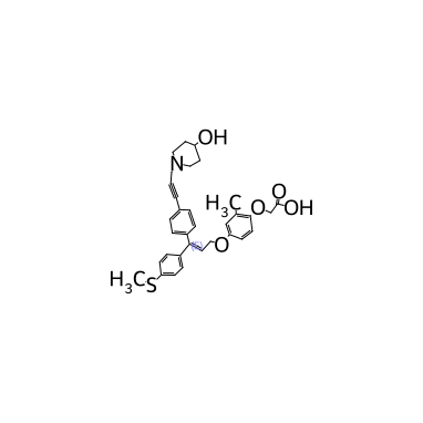 CSc1ccc(/C(=C/COc2ccc(OCC(=O)O)c(C)c2)c2ccc(C#CCN3CCC(O)CC3)cc2)cc1